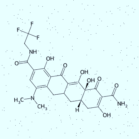 CN(C)c1cc(C(=O)NCC(F)(F)F)c(O)c2c1CC1C[C@H]3CC(O)=C(C(N)=O)C(=O)[C@@]3(O)C(O)=C1C2=O